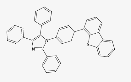 C1=CC(c2cccc3c2sc2ccccc23)CC=C1n1c(-c2ccccc2)nc(-c2ccccc2)c1-c1ccccc1